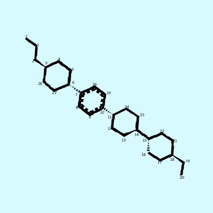 CCC[C@H]1CC[C@H](c2ccc([C@H]3CC[C@H]([C@H]4CC[C@H](CC)CC4)CC3)cc2)CC1